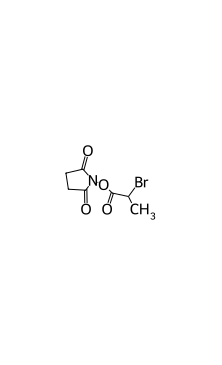 CC(Br)C(=O)ON1C(=O)CCC1=O